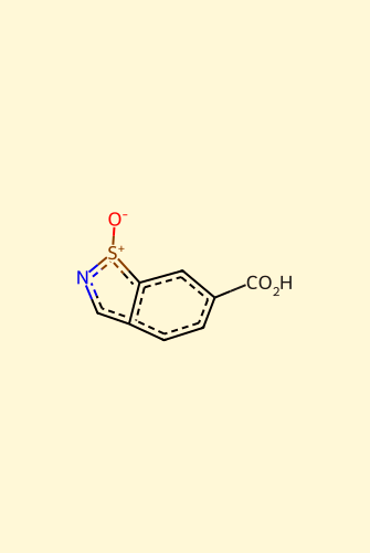 O=C(O)c1ccc2cn[s+]([O-])c2c1